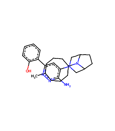 CC1CCCC(N2C3CCC2CN(c2cc(-c4ccccc4O)nnc2N)C3)CCC1